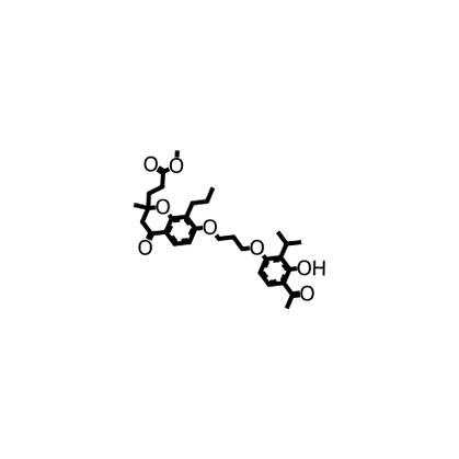 CCCc1c(OCCCOc2ccc(C(C)=O)c(O)c2C(C)C)ccc2c1OC(C)(CCC(=O)OC)CC2=O